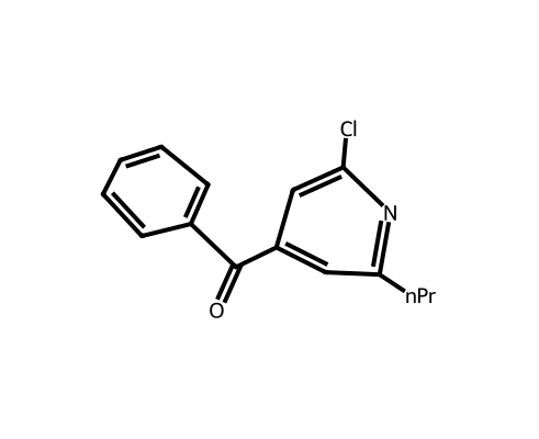 CCCc1cc(C(=O)c2ccccc2)cc(Cl)n1